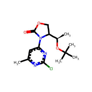 Cc1cc(N2C(=O)OCC2[C@@H](C)OC(C)(C)C)nc(Cl)n1